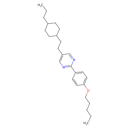 CCCCCOc1ccc(-c2ncc(CCC3CCC(CCC)CC3)cn2)cc1